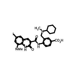 CNc1cc(I)cc2cc(C(=O)Nc3ccc(C(=O)O)cc3CN(C)C3CCCCC3)c(=O)[nH]c12